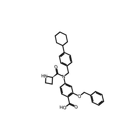 O=C(O)c1ccc(N(Cc2ccc(C3CCCCC3)cc2)C(=O)[C@H]2CCN2)cc1OCc1ccccc1